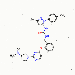 CC(=O)N(C)C1CCN(c2nccc(Oc3ccccc3CNC(=O)Nc3cc(C(C)(C)C)nn3-c3ccc(C)cc3)n2)C1